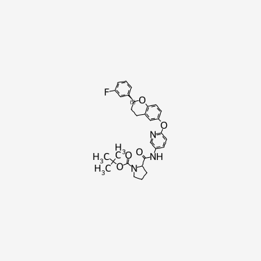 CC(C)(C)OC(=O)N1CCCC1C(=O)Nc1ccc(Oc2ccc3c(c2)CC[C@@H](c2cccc(F)c2)O3)nc1